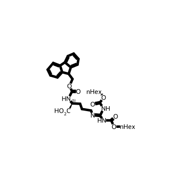 CCCCCCOC(=O)NC(=NCCC[C@H](NC(=O)OCC1c2ccccc2-c2ccccc21)C(=O)O)NC(=O)OCCCCCC